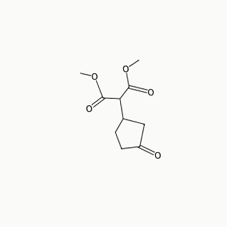 COC(=O)C(C(=O)OC)C1CCC(=O)C1